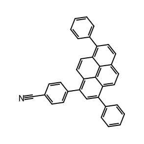 N#Cc1ccc(-c2cc(-c3ccccc3)c3ccc4ccc(-c5ccccc5)c5ccc2c3c45)cc1